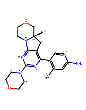 Nc1cc(C(F)(F)F)c(-c2nc(N3CCOCC3)nc3c2C[C@H]2COCCN32)cn1